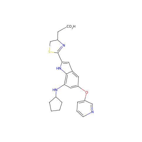 O=C(O)CC1CSC(c2cc3cc(Oc4cccnc4)cc(NC4CCCC4)c3[nH]2)=N1